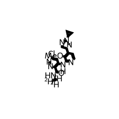 [2H]C([2H])([2H])NC(=O)c1nnc(Cl)cc1Nc1nccc(-c2cnn(C3CC3)n2)c1OC